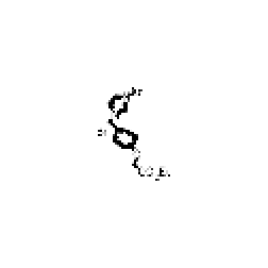 CCOC(=O)COc1ccc(Cn2cc[n+](C(C)=O)c2)cc1.[Br-]